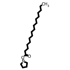 CCCCCCCCCCCCCCCCC(=O)ON1CCCC1